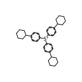 c1cc([S+](c2ccc(C3CCCCC3)cc2)c2ccc(C3CCCCC3)cc2)ccc1C1CCCCC1